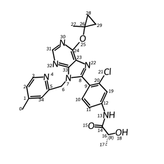 Cc1ccnc(Cn2c(-c3ccc(NC(=O)[C@@H](C)O)cc3Cl)nc3c(OC4(C)CC4)ncnc32)c1